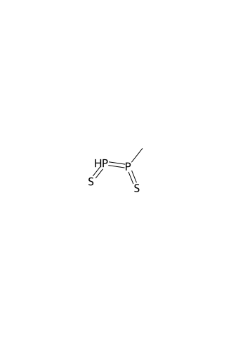 CP(=S)=[PH]=S